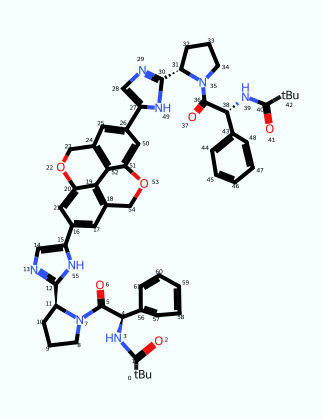 CC(C)(C)C(=O)N[C@@H](C(=O)N1CCC[C@H]1c1ncc(-c2cc3c4c(c2)OCc2cc(-c5cnc([C@@H]6CCCN6C(=O)[C@H](NC(=O)C(C)(C)C)c6ccccc6)[nH]5)cc(c2-4)OC3)[nH]1)c1ccccc1